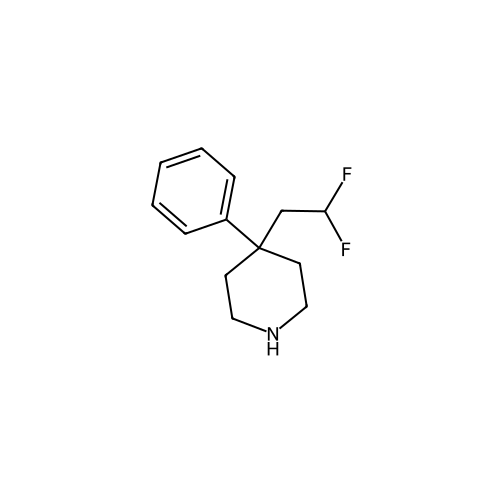 FC(F)CC1(c2ccccc2)CCNCC1